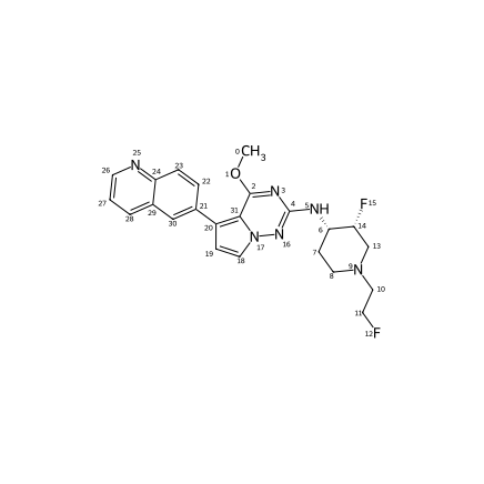 COc1nc(N[C@H]2CCN(CCF)C[C@H]2F)nn2ccc(-c3ccc4ncccc4c3)c12